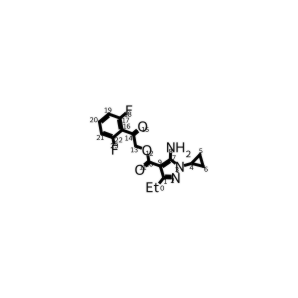 CCc1nn(C2CC2)c(N)c1C(=O)OCC(=O)c1c(F)cccc1F